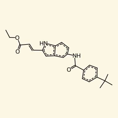 CCOC(=O)/C=C/c1cc2cc(NC(=O)c3ccc(C(C)(C)C)cc3)ccc2[nH]1